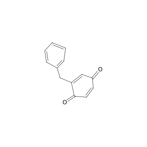 O=C1C=CC(=O)C(Cc2ccccc2)=C1